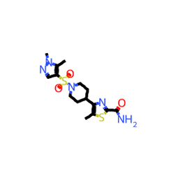 Cc1sc(C(N)=O)nc1C1CCN(S(=O)(=O)c2cnn(C)c2C)CC1